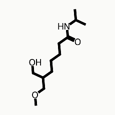 COCC(CO)CCCCC(=O)NC(C)C